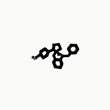 CCC[N+]1(Oc2ccccc2OCc2ccccc2)CCN=C1c1ccc(N)cc1